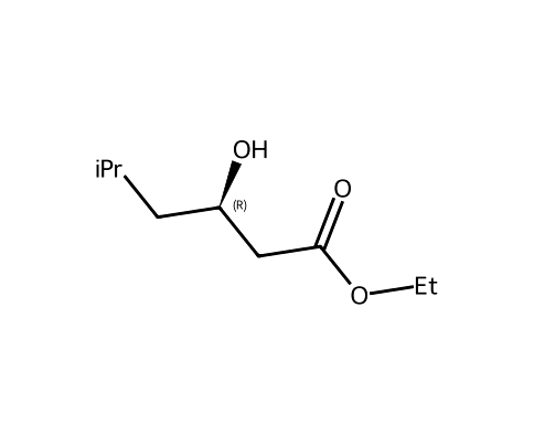 CCOC(=O)C[C@H](O)CC(C)C